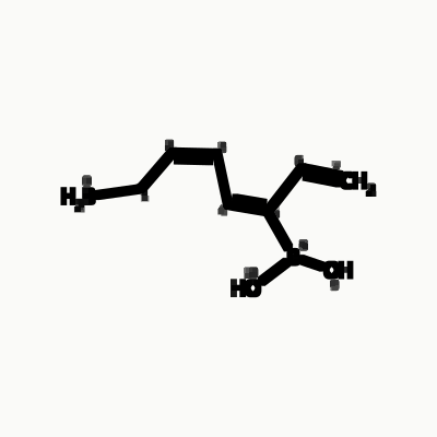 BC/C=C\C=C(/C=C)B(O)O